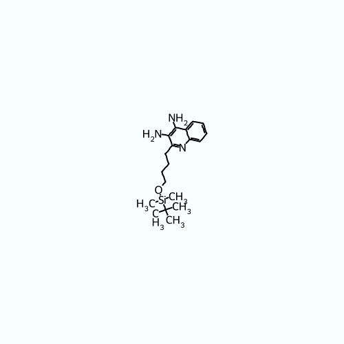 CC(C)(C)[Si](C)(C)OCCCCc1nc2ccccc2c(N)c1N